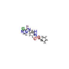 O=C(NC12CCC(c3nc(I)c4c(Cl)nccn34)(CC1)C2)OCc1ccccc1